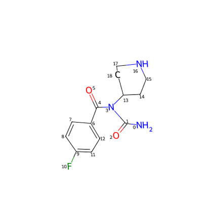 NC(=O)N(C(=O)c1ccc(F)cc1)C1CCNCC1